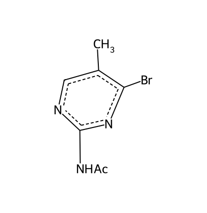 CC(=O)Nc1ncc(C)c(Br)n1